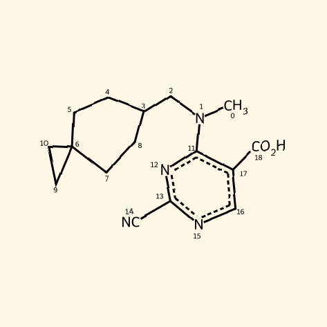 CN(CC1CCC2(CC1)CC2)c1nc(C#N)ncc1C(=O)O